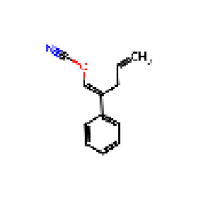 C=CCC(=COC#N)c1ccccc1